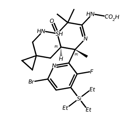 CC[Si](CC)(CC)c1cc(Br)nc([C@@]2(C)N=C(NC(=O)O)C(C)(C)[SH]3(=O)NCC4(CC4)C[C@H]23)c1F